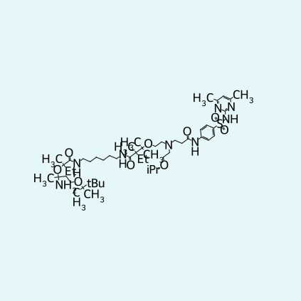 CCC(C)(OC(C)(N)CCOC(C)(C)C(C)(C)C)C(=O)NCCCCCCNC(=O)C(C)(CC)C(C)(C)OCCN(CCOC(C)C)CCC(=O)Nc1ccc(S(=O)(=O)Nc2nc(C)cc(C)n2)cc1